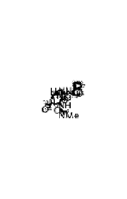 CN[C@@H](C)C(=O)N[C@H]1CN(C2COC2)CC[C@H]2CC[C@@H](C(=O)N[C@@H]3CCOc4ccccc43)N2C1=O